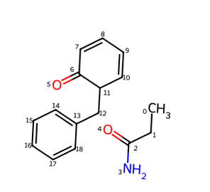 CCC(N)=O.O=C1C=CC=CC1Cc1ccccc1